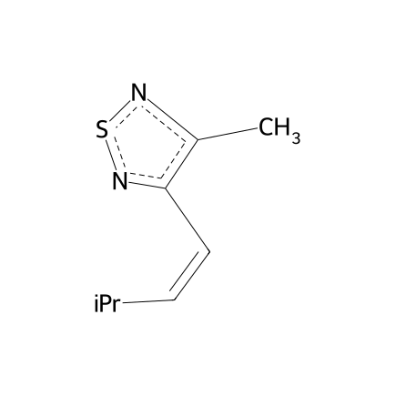 Cc1nsnc1/C=C\C(C)C